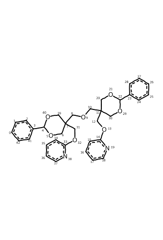 c1ccc(C2OCC(COCC3(COc4ccccn4)COC(c4ccccc4)OC3)(COc3ccccn3)CO2)cc1